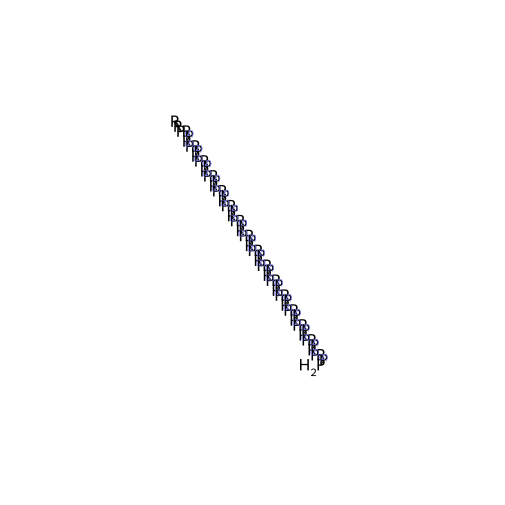 P#P=P\P=P/P=P\P=P/P=P\P=P/P=P\P=P/P=P\P=P/P=P\P=P/P=P\P=P/P=P\P=P/P=P\P=P/P=P\P=P/P=P\P=P/P=P\P=P/P=P\P=P/P=P\P=P/P=P\P=P/P=P\P=P/P